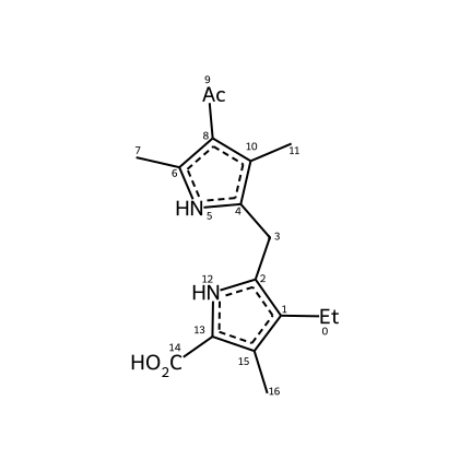 CCc1c(Cc2[nH]c(C)c(C(C)=O)c2C)[nH]c(C(=O)O)c1C